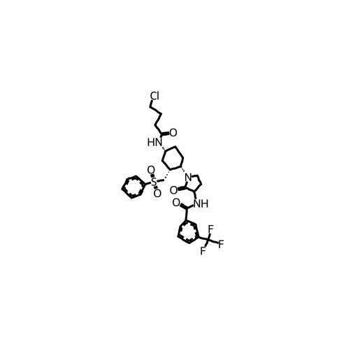 O=C(CCCCl)N[C@@H]1CC[C@H](N2CCC(NC(=O)c3cccc(C(F)(F)F)c3)C2=O)[C@H](CS(=O)(=O)c2ccccc2)C1